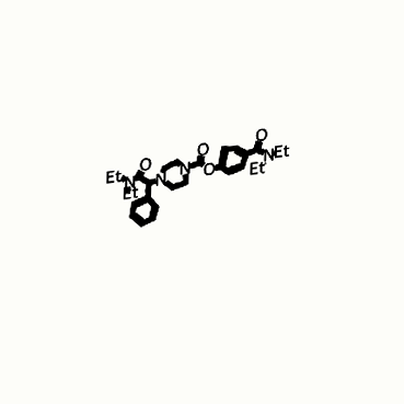 CCN(CC)C(=O)c1ccc(OC(=O)N2CCN(C(C(=O)N(CC)CC)c3ccccc3)CC2)cc1